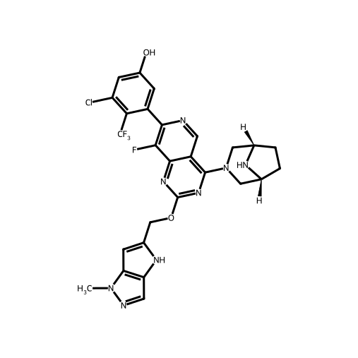 Cn1ncc2[nH]c(COc3nc(N4C[C@H]5CC[C@@H](C4)N5)c4cnc(-c5cc(O)cc(Cl)c5C(F)(F)F)c(F)c4n3)cc21